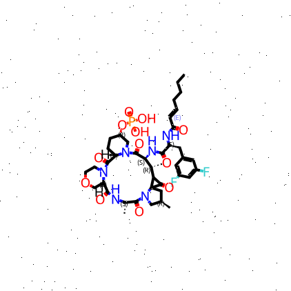 CCCC/C=C/C(=O)N[C@@H](Cc1cc(F)cc(F)c1)C(=O)N[C@@H]1C(=O)N2C[C@H](OP(=O)(O)O)CC[C@H]2C(=O)N2CCOC[C@H]2C(=O)N[C@@H](C)C(=O)N2C[C@H](C)CC23C(=O)C3[C@H]1C